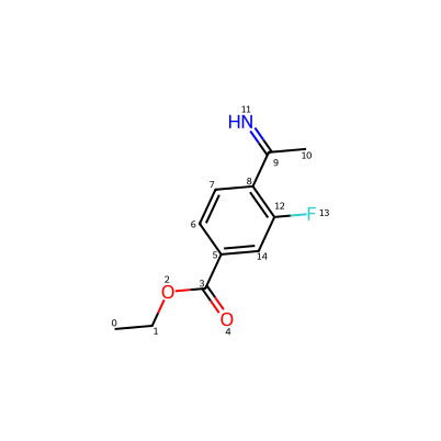 CCOC(=O)c1ccc(C(C)=N)c(F)c1